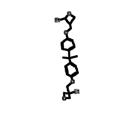 CCC1OCC1COc1ccc(C(C)(C)c2ccc(OCC3(CC)COC3)cc2)cc1